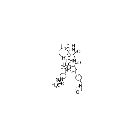 CCN(c1cc(-c2ccc(CN3CCOCC3)cc2)cc(C(=O)NCC2C(=O)NC(C)C3(CCCCCCCC3)C2C)c1C)C1CCN(S(C)(=O)=O)CC1